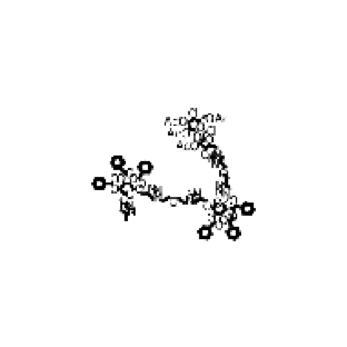 CC(=O)OC[C@H]1O[C@H](O[C@]2(CCl)OC(Cn3cc(COCc4cn(C[C@H]5O[C@@H](OCc6cn(CCOCCn7cc(CO[C@@H]8O[C@H](Cn9cc(C)nn9)[C@@H](OC(=O)c9ccccc9)[C@H](OC(=O)c9ccccc9)[C@@H]8OC(=O)c8ccccc8)nn7)nn6)[C@@H](OC(=O)c6ccccc6)[C@@H](OC(=O)c6ccccc6)[C@@H]5OC(=O)c5ccccc5)nn4)nn3)[C@@H](OC(C)=O)[C@@H]2OC(C)=O)[C@@H](OC(C)=O)[C@@H](OC(C)=O)[C@H]1Cl